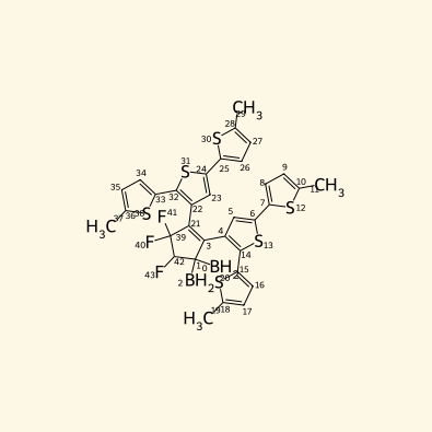 BC1(B)C(c2cc(-c3ccc(C)s3)sc2-c2ccc(C)s2)=C(c2cc(-c3ccc(C)s3)sc2-c2ccc(C)s2)C(F)(F)C1F